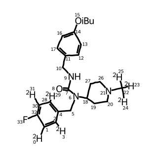 [2H]c1c([2H])c(CN(C(=O)NCc2ccc(OCC(C)C)cc2)C2CCN(C([2H])([2H])[2H])CC2)c([2H])c([2H])c1F